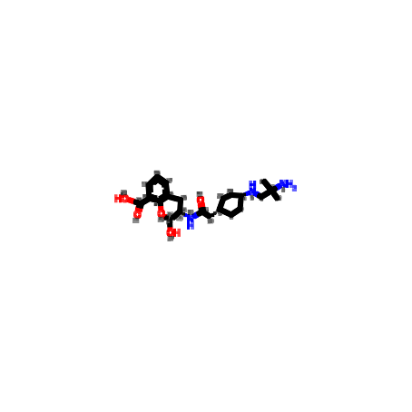 CC(C)(N)CN[C@H]1CC[C@H](CC(=O)N[C@H]2Cc3cccc(C(=O)O)c3OB2O)CC1